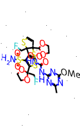 COc1nc(C)nc(NC(=O)NS(=O)(=O)C2(C3OCCO3)C=CSC2(CF)c2csc(C3(CF)OCCO3)c2S(N)(=O)=O)n1